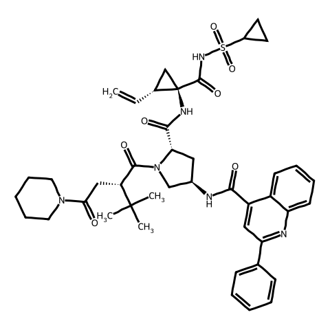 C=C[C@@H]1C[C@]1(NC(=O)[C@@H]1C[C@@H](NC(=O)c2cc(-c3ccccc3)nc3ccccc23)CN1C(=O)[C@@H](CC(=O)N1CCCCC1)C(C)(C)C)C(=O)NS(=O)(=O)C1CC1